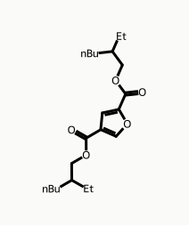 CCCCC(CC)COC(=O)c1coc(C(=O)OCC(CC)CCCC)c1